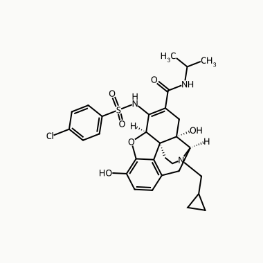 CC(C)NC(=O)C1=C(NS(=O)(=O)c2ccc(Cl)cc2)[C@@H]2Oc3c(O)ccc4c3[C@@]23CCN(CC2CC2)[C@H](C4)[C@]3(O)C1